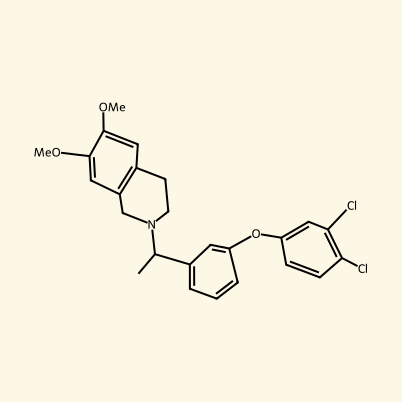 COc1cc2c(cc1OC)CN(C(C)c1cccc(Oc3ccc(Cl)c(Cl)c3)c1)CC2